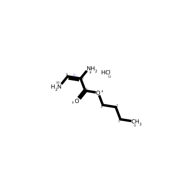 CCCCOC(=O)/C(N)=C\N.Cl